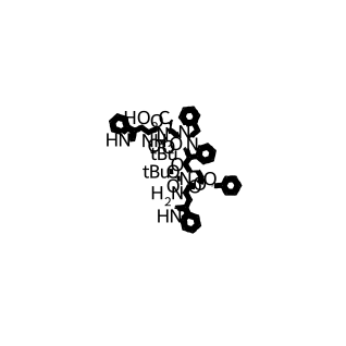 CC(C)(C)OC(=O)N(C(=O)[C@@H](N)Cc1c[nH]c2ccccc12)[C@H](CC(=O)OCc1ccccc1)C(=O)C1CN(C2Cc3ccccc3N2C(=O)[C@H](CC(=O)O)N(C(=O)OC(C)(C)C)C(=O)[C@@H](N)Cc2c[nH]c3ccccc23)c2ccccc21